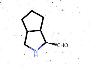 O=C[C@H]1NCC2CCCC21